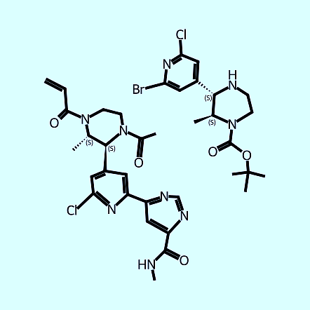 C=CC(=O)N1CCN(C(C)=O)[C@@H](c2cc(Cl)nc(-c3cc(C(=O)NC)ncn3)c2)[C@@H]1C.C[C@H]1[C@H](c2cc(Cl)nc(Br)c2)NCCN1C(=O)OC(C)(C)C